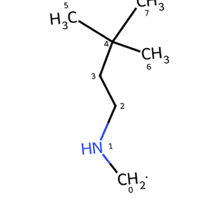 [CH2]NCCC(C)(C)C